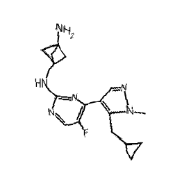 Cn1ncc(-c2nc(NC34CC(N)(C3)C4)ncc2F)c1CC1CC1